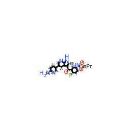 CCCS(=O)(=O)Nc1ccc(F)c(C(=O)c2c[nH]c3ncc(-c4ccc(N)nc4)cc23)c1F